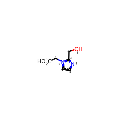 O=C(O)Cn1ccnc1CO